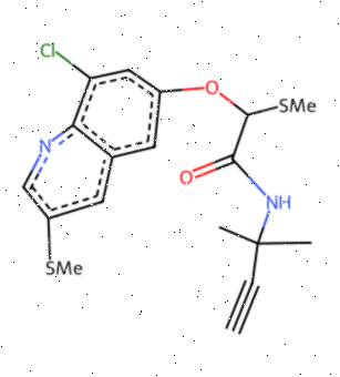 C#CC(C)(C)NC(=O)C(Oc1cc(Cl)c2ncc(SC)cc2c1)SC